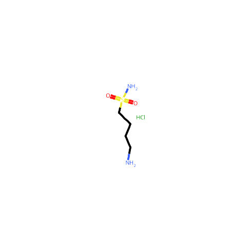 Cl.NCCCCS(N)(=O)=O